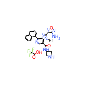 CCn1c(-c2nonc2N)nc2c(-c3cccc4ccccc34)ncc(C(=O)NC3CCNC3)c21.O=C(O)C(F)(F)F